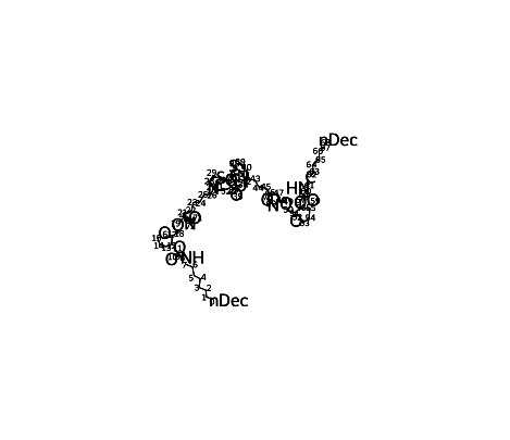 CCCCCCCCCCCCCCCCCNC(=O)OC1CCCOC1COc1cc(CCCCn2ccs[c+]2CS(=O)(=O)O[c+]2sccn2CCCCc2cc(OCC3OCCCC3OC(=O)NCCCCCCCCCCCCCCCCC)no2)on1